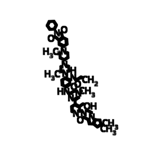 C=CC(=O)Nc1cc(Nc2nc(-c3ccnc(N4CCn5c(cc6c5CC(C)(C)C6)C4=O)c3CO)cn(C)c2=O)ccc1N1CCN(C2CCN(c3ccc4c(c3)C(=O)N(C3CCCCC3)C4=O)[C@H](C)C2)C[C@@H]1C